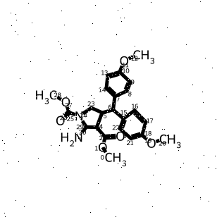 COC(=O)[C]1[C](C(c2ccc(OC)cc2)c2ccc(OC)cc2)CN(C(=O)OC)C1N